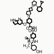 C[C@]1(CNc2ccc(S(=O)(=O)NC(=O)c3ccc(N4CCC5(CC(N6CCC[C@H]6c6ccccc6C6CC6)C5)C4)cc3Oc3cnc4[nH]ccc4c3)cc2[N+](=O)[O-])CC[C@H](O)CC1